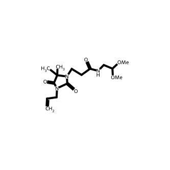 C=CCN1C(=O)N(CCC(=O)NCC(OC)OC)C(C)(C)C1=O